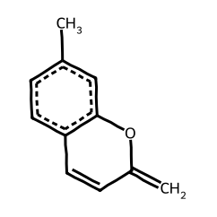 C=C1C=Cc2ccc(C)cc2O1